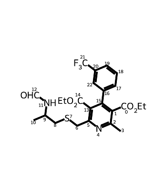 CCOC(=O)c1c(C)nc(CSCC(C)NC=O)c(C(=O)OCC)c1-c1cccc(C(F)(F)F)c1